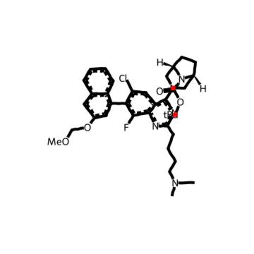 COCOc1cc(-c2c(Cl)cc3c(N4C[C@H]5CC[C@@H](C4)N5C(=O)OC(C)(C)C)nc(CCCCN(C)C)nc3c2F)c2ccccc2c1